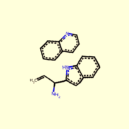 C=CC(N)c1cc2ccccc2[nH]1.c1ccc2ncccc2c1